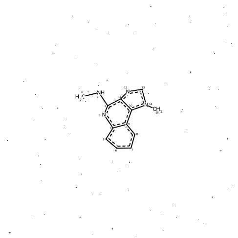 CNc1nc2ccccc2c2c1ncn2C